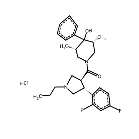 CCCN1C[C@@H](C(=O)N2C[C@@H](C)C(O)(c3ccccc3)[C@@H](C)C2)[C@H](c2ccc(F)cc2F)C1.Cl